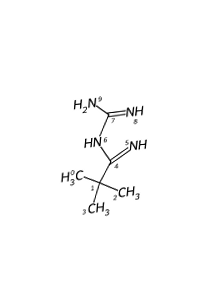 CC(C)(C)C(=N)NC(=N)N